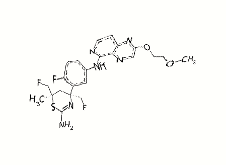 COCCOc1cnc2c(Nc3ccc(F)c([C@]4(CF)C[C@](C)(CF)SC(N)=N4)c3)nccc2n1